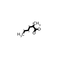 CCCCC(C)C([O])=O